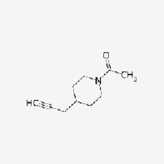 C#CCC1CCN(C(C)=O)CC1